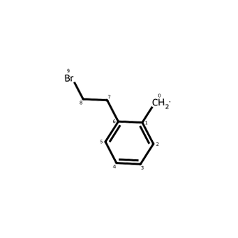 [CH2]c1ccccc1CCBr